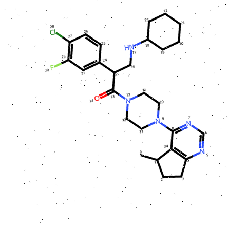 CC1CCc2ncnc(N3CCN(C(=O)C(CNC4CCCCC4)c4ccc(Cl)c(F)c4)CC3)c21